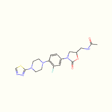 CC(=O)NCC1CN(c2ccc(N3CCN(c4nncs4)CC3)c(F)c2)C(=O)O1